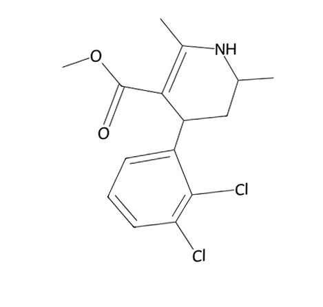 COC(=O)C1=C(C)NC(C)CC1c1cccc(Cl)c1Cl